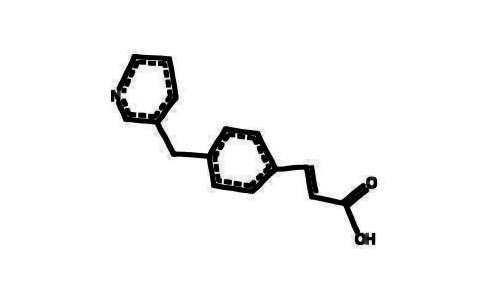 O=C(O)/C=C/c1ccc(Cc2cccnc2)cc1